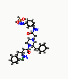 CS(=O)(=O)Nc1cccc(NC(=O)CN2CCN(C(=O)CC(N)Cc3ccccc3F)C(Cc3ccccc3)C2)c1